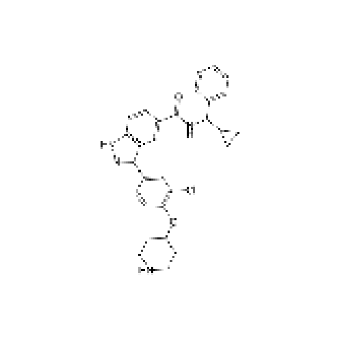 O=C(NC(c1ccccc1)C1CC1)c1ccc2[nH]nc(-c3ccc(OC4CCNCC4)c(Cl)c3)c2c1